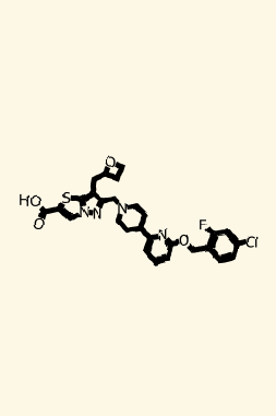 O=C(O)c1cn2nc(CN3CCC(c4cccc(OCc5ccc(Cl)cc5F)n4)CC3)c(CC3CCO3)c2s1